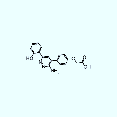 Nc1nnc(-c2ccccc2O)cc1-c1ccc(OCC(=O)O)cc1